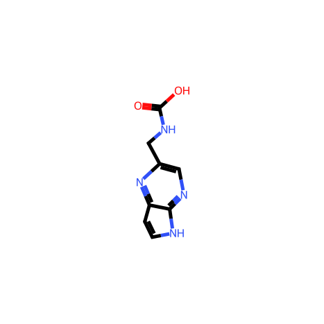 O=C(O)NCc1cnc2[nH]ccc2n1